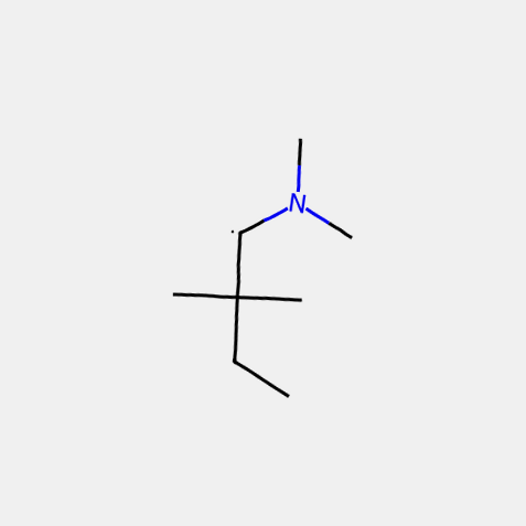 CCC(C)(C)[CH]N(C)C